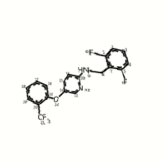 Fc1cccc(F)c1CNc1ccc(Oc2ccccc2C(F)(F)F)cn1